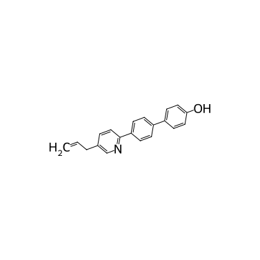 C=CCc1ccc(-c2ccc(-c3ccc(O)cc3)cc2)nc1